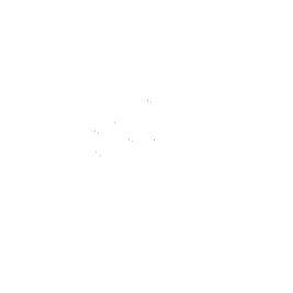 NC(=O)N(c1ccccc1)n1cnnn1